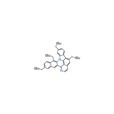 CC(C)(C)Cc1ccc2c(CC(C)(C)C)c3c(cc2c1)c1nccc2cc(CC(C)(C)C)c4c5ccc(CC(C)(C)C)cc5n3c4c21